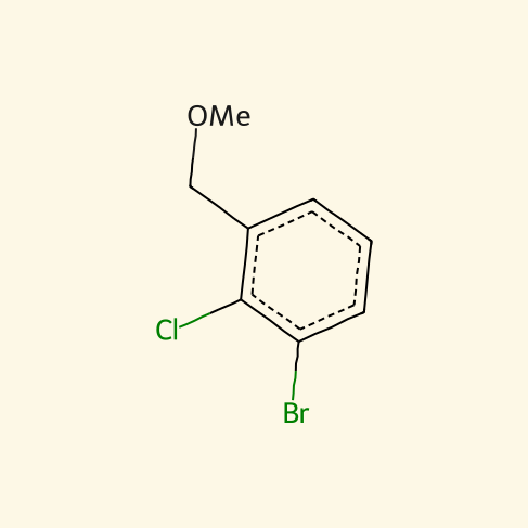 COCc1cccc(Br)c1Cl